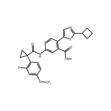 COC(=O)c1cc(NC(=O)C2(c3ccc(OC(F)(F)F)cc3F)CC2)ccc1-c1cnc(C2CCC2)s1